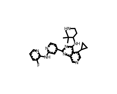 CC1(C)CNCCC1Nc1nc(-c2ccnc(Nc3ncccc3F)c2)nc2cncc(C3CC3)c12